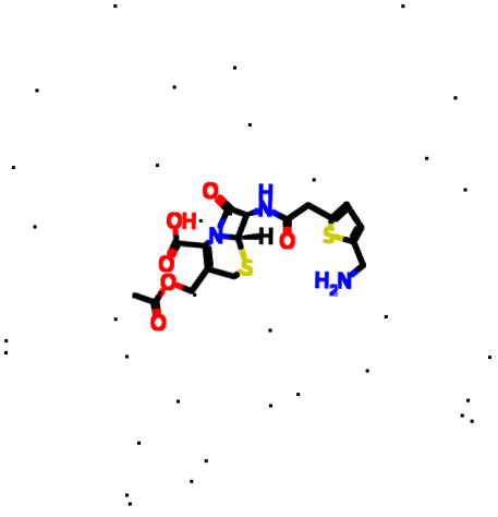 CC(=O)OCC1=C(C(=O)O)N2C(=O)[C@@H](NC(=O)Cc3ccc(CN)s3)[C@@H]2SC1